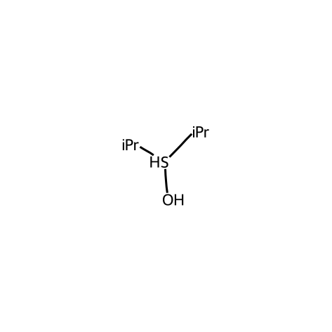 CC(C)[SH](O)C(C)C